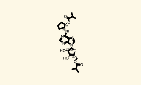 CC(C)C(=O)OC[C@H]1O[C@@H](n2cnc3c(N[C@@H]4CCC[C@@H]4OC(=O)C(C)C)ncnc32)[C@H](O)[C@@H]1O